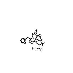 CC1(C)S[C@H]2N(C(=O)[C@@]2(NC(=O)Cc2cccs2)C(=O)O)[C@H]1C(=O)O